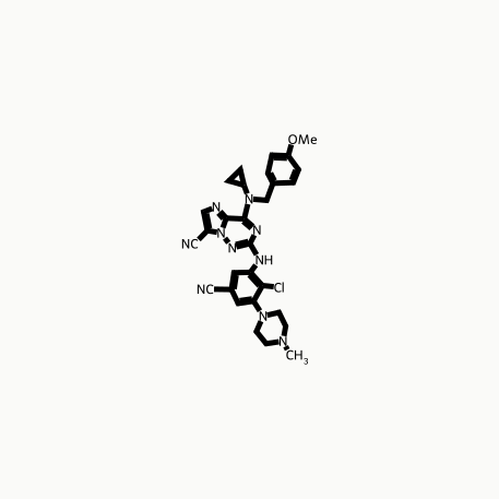 COc1ccc(CN(c2nc(Nc3cc(C#N)cc(N4CCN(C)CC4)c3Cl)nn3c(C#N)cnc23)C2CC2)cc1